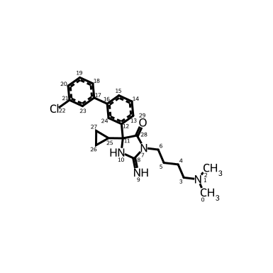 CN(C)CCCCN1C(=N)NC(c2cccc(-c3cccc(Cl)c3)c2)(C2CC2)C1=O